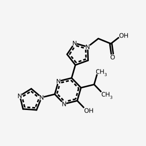 CC(C)c1c(O)nc(-n2ccnc2)nc1-c1cnn(CC(=O)O)c1